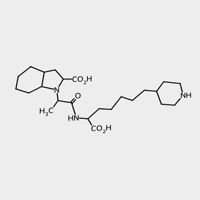 CC(C(=O)NC(CCCCCC1CCNCC1)C(=O)O)N1C(C(=O)O)CC2CCCCC21